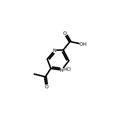 CC(=O)c1cnc(C(=O)O)cn1.Cl